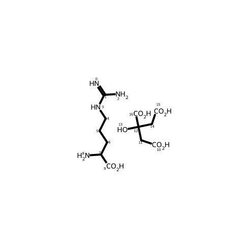 N=C(N)NCCCC(N)C(=O)O.O=C(O)CC(O)(CC(=O)O)C(=O)O